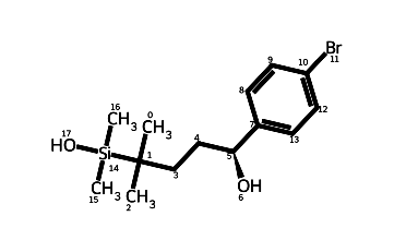 CC(C)(CC[C@H](O)c1ccc(Br)cc1)[Si](C)(C)O